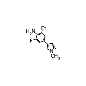 CCc1cc(-c2cnn(C)c2)cc(F)c1N